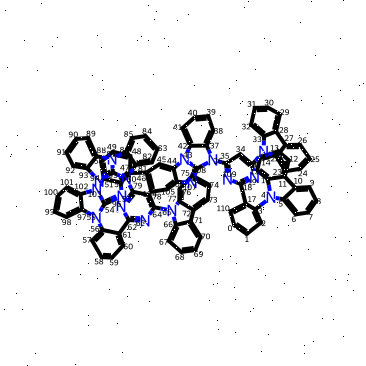 c1ccc(-n2c3ccccc3c3ccccc32)c(-c2nc(-n3c4ccccc4c4ccccc43)cc(-n3c4ccccc4n4c5cc(-c6cccc7c6nc6n(-c8ccccc8-c8nc(-n9c%10ccccc%10c%10ccccc%109)cc(-n9c%10ccccc%10n%10c%11ccccc%11nc9%10)n8)c8ccccc8n76)ccc5nc34)n2)c1